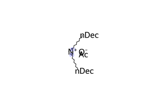 CC(=O)[O-].CCCCCCCCCCCCCCCC/C=C/[N+](C)(C)/C=C/CCCCCCCCCCCCCCCC